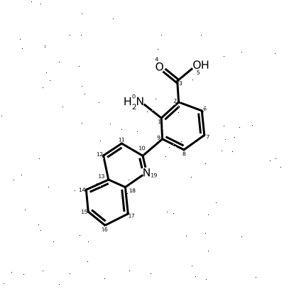 Nc1c(C(=O)O)cccc1-c1ccc2ccccc2n1